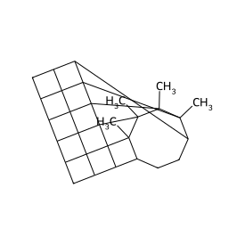 CC12C3CCC4C5C6CC7C8C9C%10CC%11C3C13C%11%10C91C89C67C56C4(C)C4(C)C2(C)C31C469